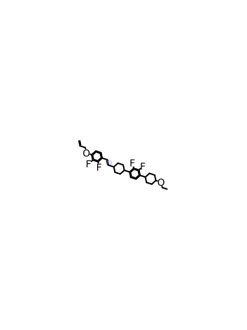 C=CCOc1ccc(/C=C/C2CCC(c3ccc(C4CCC(OCC)CC4)c(F)c3F)CC2)c(F)c1F